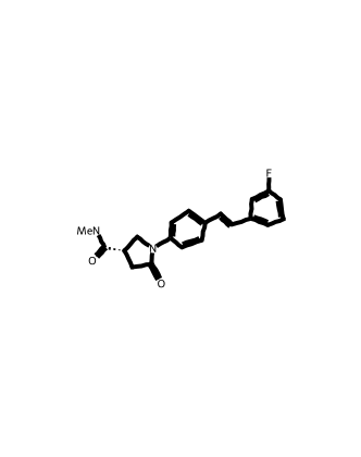 CNC(=O)[C@H]1CC(=O)N(c2ccc(/C=C/c3cccc(F)c3)cc2)C1